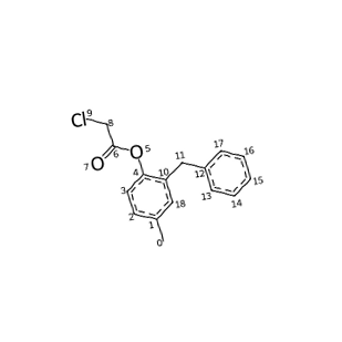 Cc1ccc(OC(=O)CCl)c(Cc2ccccc2)c1